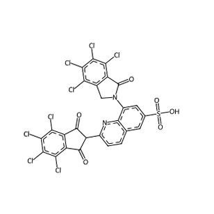 O=C1c2c(Cl)c(Cl)c(Cl)c(Cl)c2C(=O)C1c1ccc2cc(S(=O)(=O)O)cc(N3Cc4c(Cl)c(Cl)c(Cl)c(Cl)c4C3=O)c2n1